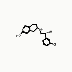 Oc1ccc2c(c1)C[C@H](NC[C@H](O)c1cccc(Cl)c1)CC2